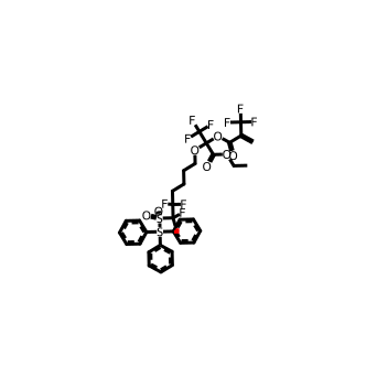 C=C(C(=O)OC(OCCCCC(F)(F)C(F)(F)S(=O)(=O)S(c1ccccc1)(c1ccccc1)c1ccccc1)(C(=O)OCC)C(F)(F)F)C(F)(F)F